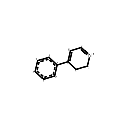 C1=NCCC(c2ccccc2)=C1